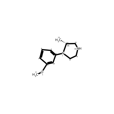 COc1cccc(N2CCNC[C@H]2C)c1